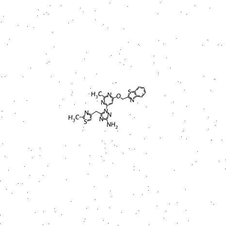 Cc1nc(OCc2nc3ccccc3s2)cc(-n2nc(N)nc2Cc2csc(C)n2)n1